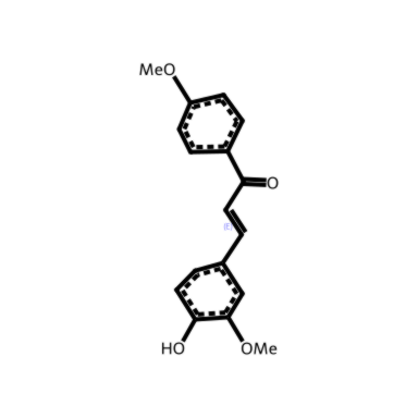 COc1ccc(C(=O)/C=C/c2ccc(O)c(OC)c2)cc1